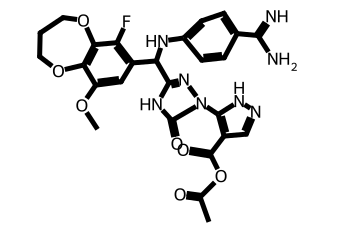 COc1cc(C(Nc2ccc(C(=N)N)cc2)c2nn(-c3[nH]ncc3C(=O)OC(C)=O)c(=O)[nH]2)c(F)c2c1OCCCO2